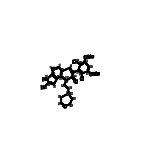 CCc1cc2c(ncc3cc(-c4c(Cl)c(OC)cc(OC)c4Cl)c(=O)n(CCN4CCOCC4)c32)[nH]1